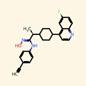 C#Cc1ccc(N/C(=N\O)[C@@H](C)C2CCC(c3ccnc4ccc(F)cc34)CC2)cc1